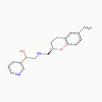 O=C(O)c1ccc2c(c1)CC[C@H](CNCC(O)c1cccnc1)O2